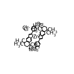 CC(C)(C)c1ccc(C2=Cc3cc4c(cc3[CH]2[Zr+2][CH]2C(c3ccc(C(C)(C)C)cc3)=Cc3cc5c(cc32)C(C)(C)CCC5(C)C)C(C)(C)CCC4(C)C)cc1.[Cl-].[Cl-]